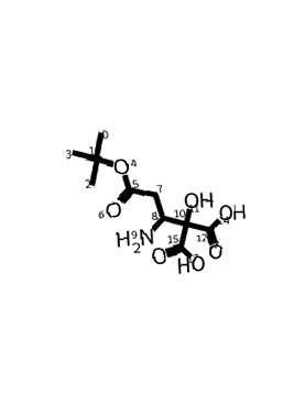 CC(C)(C)OC(=O)CC(N)C(O)(C(=O)O)C(=O)O